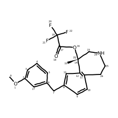 COc1cccc(Cc2ccc3c(c2)[C@](C)(OC(=O)C(F)(F)F)CNCC3)c1